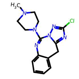 CN1CCN(C2=Nc3ccccc3Cc3nc(Cl)nn32)CC1